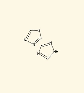 c1nc[nH]n1.c1nncs1